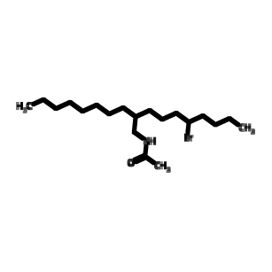 CCCCCCCCC(CCCC(Br)CCCC)CNC(C)=O